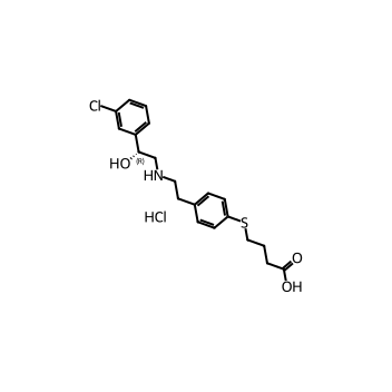 Cl.O=C(O)CCCSc1ccc(CCNC[C@H](O)c2cccc(Cl)c2)cc1